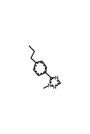 CCCc1ccc(-c2ncnn2C)cc1